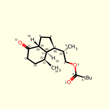 C[C@H](COC(=O)C(C)(C)C)[C@@H]1CC[C@H]2C(=O)CC[C@H](C)[C@H]12